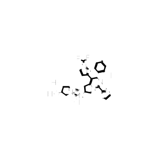 O=S(=O)(N[C@H]1CC2=C(c3ccn(C(F)F)n3)[C@H](c3ccc(F)cc3Cl)N=C(c3nccs3)N2C1)N1C[C@@H](O)[C@@H](O)C1